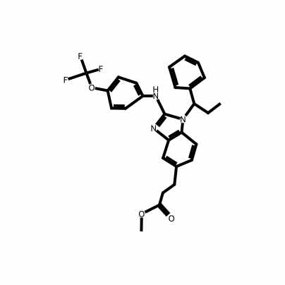 CCC(c1ccccc1)n1c(Nc2ccc(OC(F)(F)F)cc2)nc2cc(CCC(=O)OC)ccc21